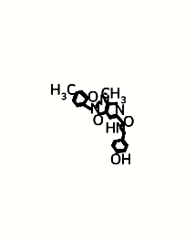 Cc1ccc(Cn2c(=O)c3cc(C(=O)NCc4ccc(O)cc4)ncc3n(C)c2=O)cc1